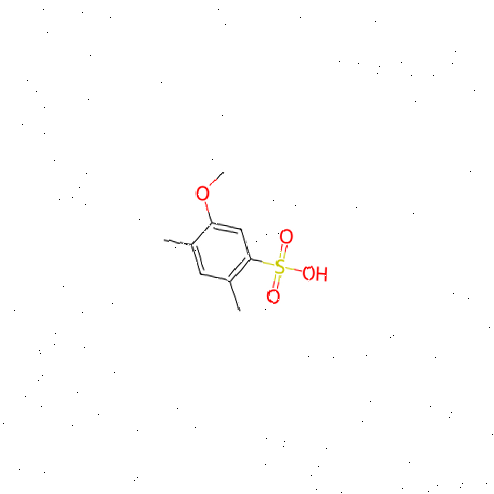 COc1cc(S(=O)(=O)O)c(C)cc1C